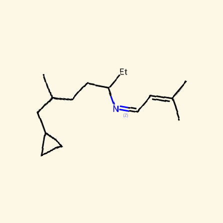 CCC(CCC(C)CC1CC1)/N=C\C=C(C)C